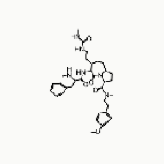 CNC(=O)NCC[C@H]1CCC2CC[C@@H](C(=O)NCCc3ccc(OC)cc3)N2C(=O)C1NC(=O)C(Cc1ccccc1)NC